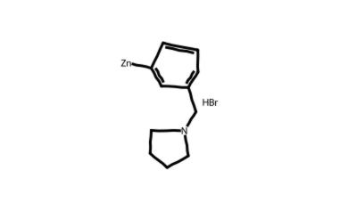 Br.[Zn][c]1cccc(CN2CCCC2)c1